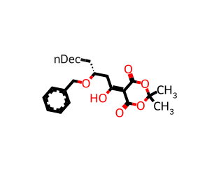 CCCCCCCCCCC[C@H](CC(O)=C1C(=O)OC(C)(C)OC1=O)OCc1ccccc1